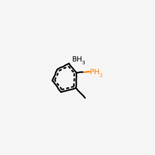 B.Cc1ccccc1P